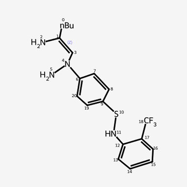 CCCC/C(N)=C/N(N)c1ccc(SNc2ccccc2C(F)(F)F)cc1